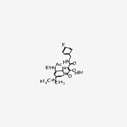 CCCCOc1c(C(=O)NCc2ccc(F)cc2)nc2c(N(CC)C(C)=O)cc(N(C)C)cn2c1=O